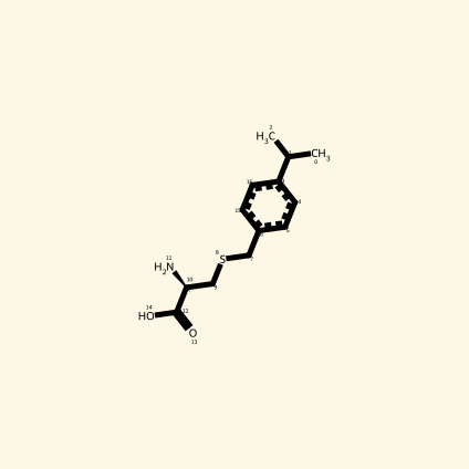 CC(C)c1ccc(CSC[C@H](N)C(=O)O)cc1